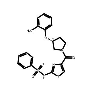 Cc1ccccc1O[C@@H]1CCN(C(=O)c2csc(NS(=O)(=O)c3ccccc3)n2)C1